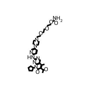 CC(=O)c1c(C)c2cnc(Nc3ccc(N4CCN(CCOCCOCCOC(N)=O)CC4)cn3)nc2n(C2CCCC2)c1=O